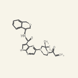 C=CC(=O)N1CCN(c2cnc3[nH]cc(C(=O)NC4COCc5ccccc54)c3n2)CC1(C)C